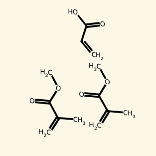 C=C(C)C(=O)OC.C=C(C)C(=O)OC.C=CC(=O)O